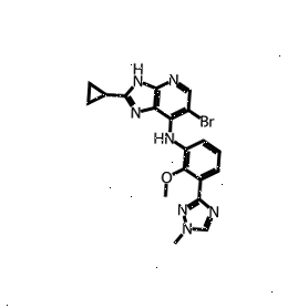 COc1c(Nc2c(Br)cnc3[nH]c(C4CC4)nc23)cccc1-c1ncn(C)n1